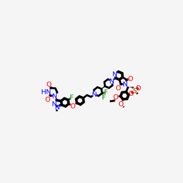 CCOc1cc([C@@H](CS(C)(=O)=O)N2C(=O)c3ccnc(N4CCC([C@@H]5CCN(CCc6ccc(Oc7cc8c(cc7F)c(N7CCC(=O)NC7=O)nn8C)cc6)CC5(F)F)CC4)c3C2=O)ccc1OC